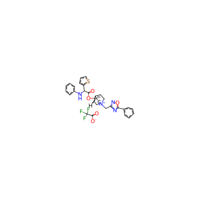 O=C(O[C@H]1C[N+]2(Cc3noc(-c4ccccc4)n3)CCC1CC2)C(Nc1ccccc1)c1cccs1.O=C([O-])C(F)(F)F